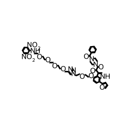 O=C(C(=O)N1CCN(C(=O)c2ccccc2)CC1)c1c[nH]c2c(-c3ccco3)ccc(OCCOCCn3cc(COCCOCCOCCOCCNc4c([N+](=O)[O-])cccc4[N+](=O)[O-])nn3)c12